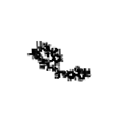 Cc1nc(Nc2ncc(C(=O)Nc3c(C)cccc3Cl)s2)cc(N2C[C@H]3C2CN3CCCNC(=O)COc2ccc(C3CCC(=O)NC3=O)cc2)n1